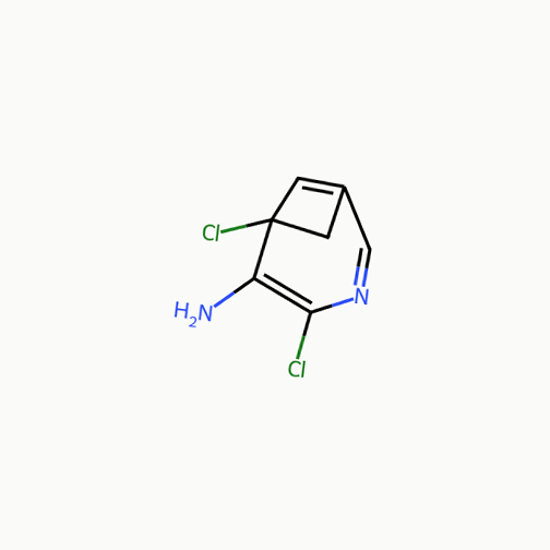 NC1=C(Cl)N=CC2=CC1(Cl)C2